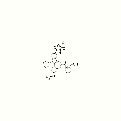 COc1ccc2c(c1)C=C(C(=O)N1CCCCC1CO)Cn1c-2c(C2CCCCC2)c2ccc(C(=O)NS(=O)(=O)C3CC3)cc21